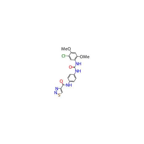 COc1cc(OC)c(NC(=O)Nc2ccc(NC(=O)c3csnn3)cc2)cc1Cl